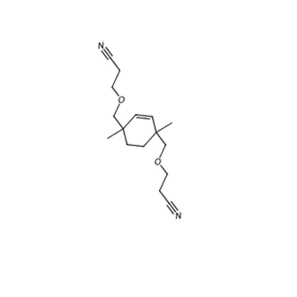 CC1(COCCC#N)C=CC(C)(COCCC#N)CC1